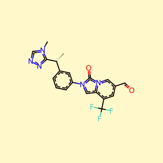 C[C@H](c1cccc(-n2cc3c(C(F)(F)F)cc(C=O)cn3c2=O)c1)c1nncn1C